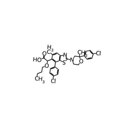 CCCCOC(C(=O)O)c1c(C)cc2nc(N3CCOC(C)(c4ccc(Cl)cc4)C3)sc2c1-c1ccc(Cl)cc1